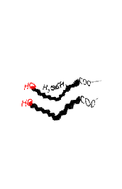 O=C([O-])CCCCCCC/C=C\CCCCCCCCO.O=C([O-])CCCCCCC/C=C\CCCCCCCCO.[CH3][Sn+2][CH3]